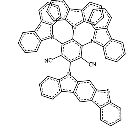 N#Cc1c(-n2c3ccccc3c3cc4c(cc32)sc2ccccc24)c(C#N)c(-n2c3ccccc3c3ccccc32)c(-n2c3ccccc3c3ccccc32)c1-n1c2ccccc2c2ccccc21